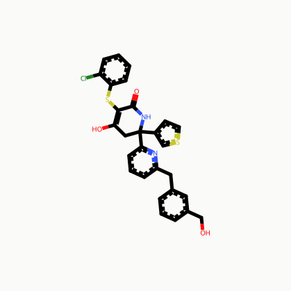 O=C1NC(c2ccsc2)(c2cccc(Cc3cccc(CO)c3)n2)CC(O)=C1Sc1ccccc1Cl